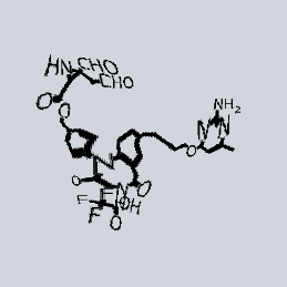 Cc1cc(OCCCc2ccc3c(c2)C(=O)NCC(=O)N3c2ccc(COC(=O)C3NC3(C=O)CC=O)cc2)nc(N)n1.O=C(O)C(F)(F)F